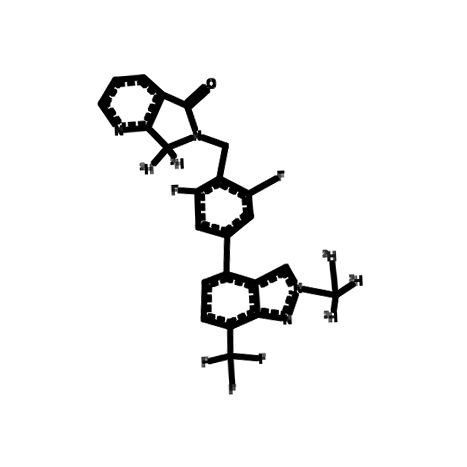 [2H]C1([2H])c2ncccc2C(=O)N1Cc1c(F)cc(-c2ccc(C(F)(F)F)c3nn(C([2H])([2H])[2H])cc23)cc1F